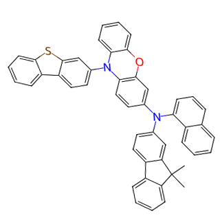 CC1(C)c2ccccc2-c2ccc(N(c3ccc4c(c3)Oc3ccccc3N4c3ccc4c(c3)sc3ccccc34)c3cccc4ccccc34)cc21